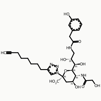 C#CCCCCCCc1cn([C@]2(C(=O)O)C[C@H](O)[C@@H](NC(=O)CO)[C@H]([C@H](O)[C@H](O)CNC(=O)Cc3cccc(O)c3)O2)nn1